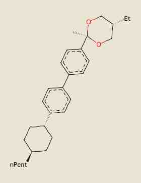 CCCCC[C@H]1CC[C@H](c2ccc(-c3ccc([C@]4(C)OC[C@@H](CC)CO4)cc3)cc2)CC1